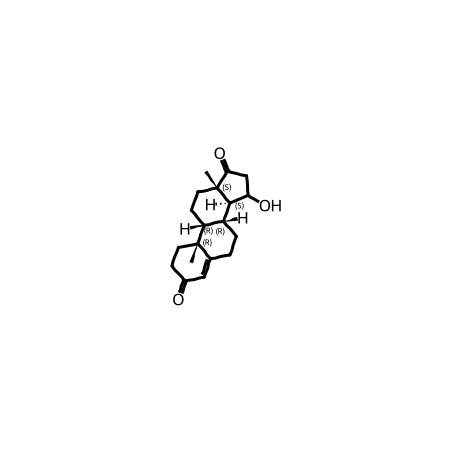 C[C@]12CCC(=O)C=C1CC[C@@H]1[C@H]2CC[C@]2(C)C(=O)CC(O)[C@@H]12